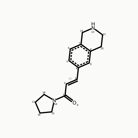 O=C(/C=C/c1ccc2c(c1)CCNC2)N1CCCC1